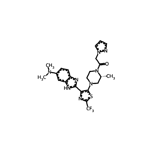 C[C@@H]1CN(c2sc(C(F)(F)F)nc2-c2nc3ccc(N(C)C)cc3[nH]2)CCN1C(=O)Cn1cccn1